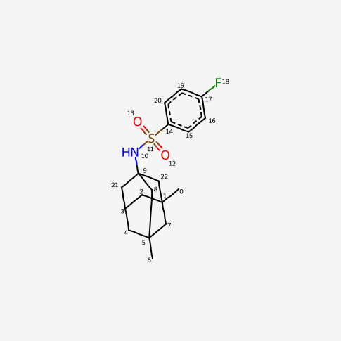 CC12CC3CC(C)(C1)CC(NS(=O)(=O)c1ccc(F)cc1)(C3)C2